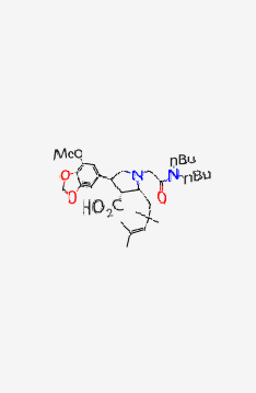 CCCCN(CCCC)C(=O)CN1C[C@H](c2cc(OC)c3c(c2)OCO3)[C@@H](C(=O)O)[C@@H]1CC(C)(C)C=C(C)C